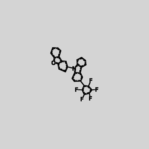 Fc1c(F)c(F)c(-c2ccc3c(c2)c2ccccc2n3-c2ccc3oc4ccccc4c3c2)c(F)c1F